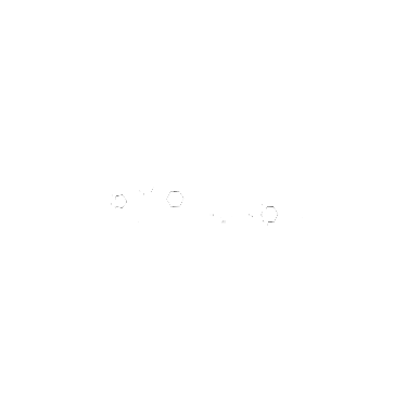 Cc1cnc(N2CCC([C@H]3C[C@H]3CCOc3ccc(CC(=O)N4CCc5[nH]nc(C)c5C4)c(F)c3)CC2)nc1